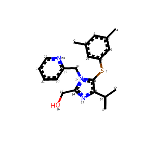 Cc1cc(C)cc(Sc2c(C(C)C)nc(CO)n2Cc2ccccn2)c1